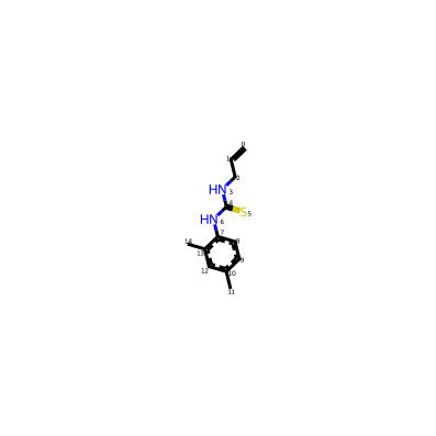 C=CCNC(=S)Nc1ccc(C)cc1C